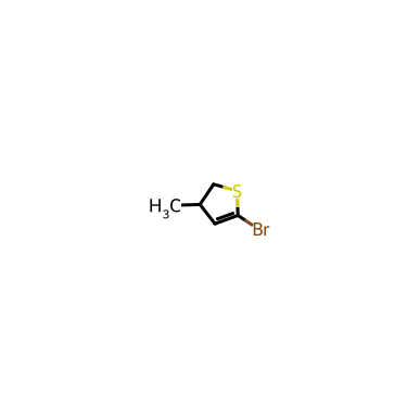 CC1C=C(Br)SC1